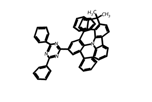 CC1(C)c2ccccc2-c2c1ccc1c3ccccc3n(-c3c(-c4ccccc4)cc(-c4nc(-c5ccccc5)nc(-c5ccccc5)n4)cc3-c3ccccc3)c21